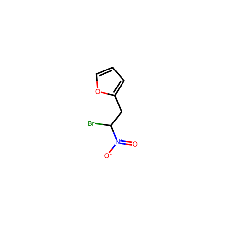 O=[N+]([O-])C(Br)Cc1ccco1